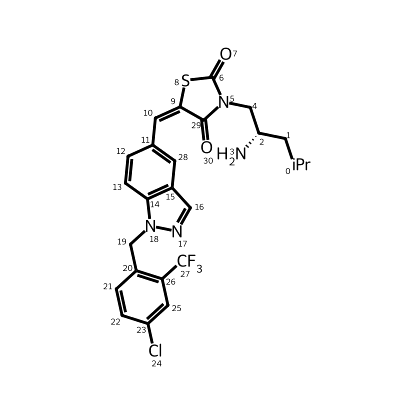 CC(C)C[C@H](N)CN1C(=O)SC(=Cc2ccc3c(cnn3Cc3ccc(Cl)cc3C(F)(F)F)c2)C1=O